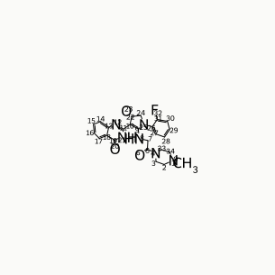 CN1CCN(C(=O)CNC2=C(c3nc4ccccc4c(=O)[nH]3)C(=O)CN2c2ccccc2F)CC1